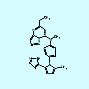 CCc1cc(N(C)c2ccc(-n3c(C)ccc3-c3nnn[nH]3)cc2)n2nccc2n1